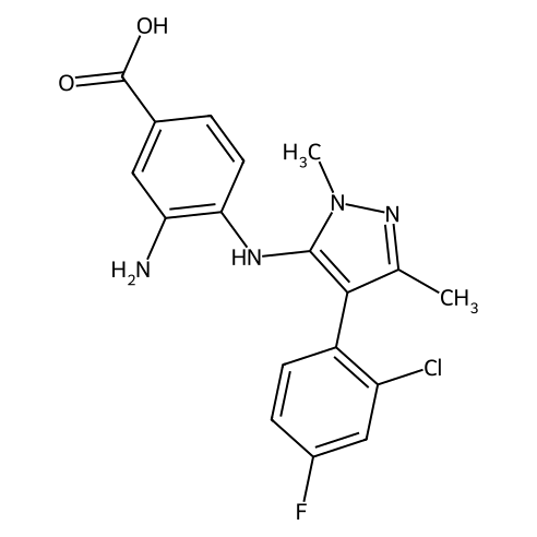 Cc1nn(C)c(Nc2ccc(C(=O)O)cc2N)c1-c1ccc(F)cc1Cl